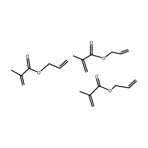 C=CCOC(=O)C(=C)C.C=CCOC(=O)C(=C)C.C=CCOC(=O)C(=C)C